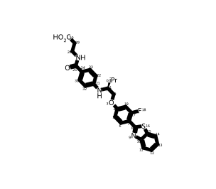 CC(C)[C@@H](COc1ccc(-c2nc3ccccc3s2)c(F)c1)Nc1ccc(C(=O)NCCC(=O)O)cc1